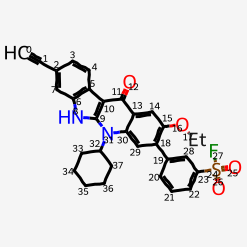 C#Cc1ccc2c(c1)[nH]c1c2c(=O)c2cc(OCC)c(-c3cccc(S(=O)(=O)F)c3)cc2n1C1CCCCC1